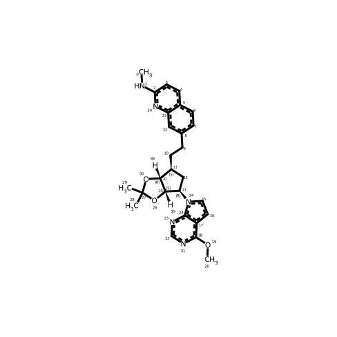 CNc1ccc2ccc(CC[C@H]3C[C@@H](n4ccc5c(OC)ncnc54)[C@@H]4OC(C)(C)O[C@H]34)cc2n1